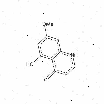 COc1cc(O)c2c(=O)cc[nH]c2c1